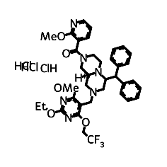 CCOc1nc(OC)c(CN2CC(C(c3ccccc3)c3ccccc3)N3CCN(C(=O)c4cccnc4OC)C[C@H]3C2)c(OCC(F)(F)F)n1.Cl.Cl.Cl